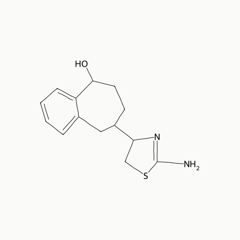 NC1=NC(C2CCC(O)c3ccccc3C2)CS1